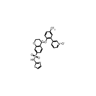 O=S(=O)(Nc1nccs1)c1ccc2c(c1)OCC[C@H]2Oc1ccc(C(F)(F)F)cc1-c1ccc[n+]([O-])c1